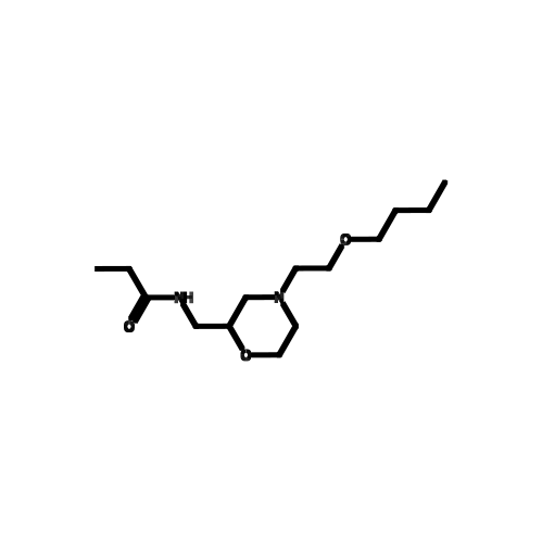 CCCCOCCN1CCOC(CNC(=O)CC)C1